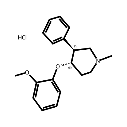 COc1ccccc1O[C@H]1CCN(C)C[C@@H]1c1ccccc1.Cl